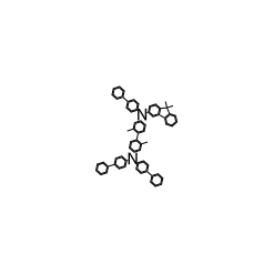 Cc1cc(N(c2ccc(-c3ccccc3)cc2)c2ccc(-c3ccccc3)cc2)ccc1-c1ccc(N(c2ccc(-c3ccccc3)cc2)c2ccc3c(c2)-c2ccccc2C3(C)C)cc1C